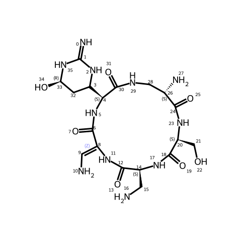 N=C1NC([C@@H]2NC(=O)/C(=C/N)NC(=O)[C@H](CN)NC(=O)[C@H](CO)NC(=O)[C@@H](N)CNC2=O)C[C@@H](O)N1